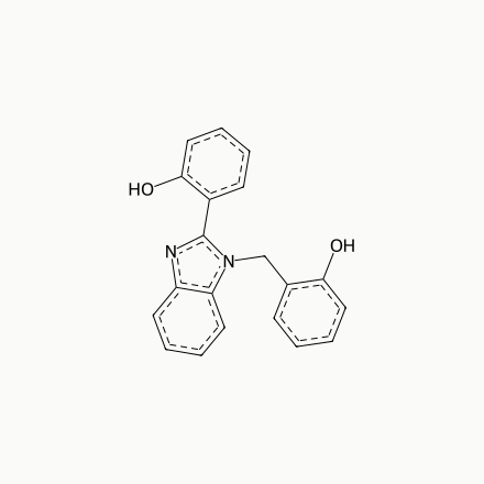 Oc1ccccc1Cn1c(-c2ccccc2O)nc2ccccc21